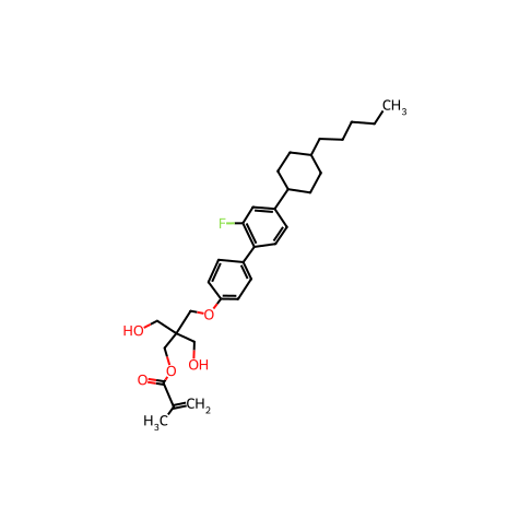 C=C(C)C(=O)OCC(CO)(CO)COc1ccc(-c2ccc(C3CCC(CCCCC)CC3)cc2F)cc1